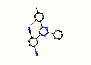 [C-]#[N+]c1ccc(C#N)c(-c2nc(-c3ccccc3)nc(-c3ccc(C)cc3O)n2)c1